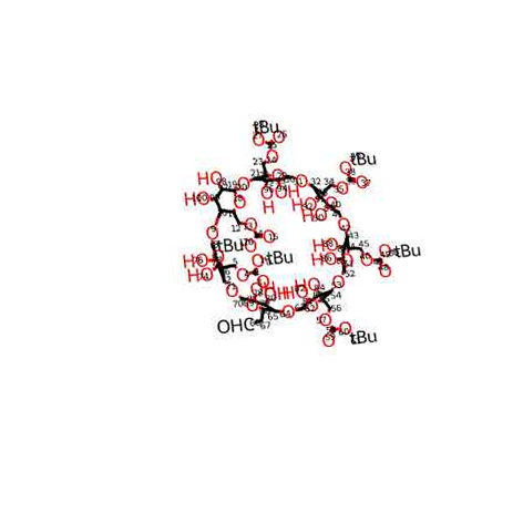 CC(C)(C)OC(=O)OCC1OC2OC3C(COC(=O)OC(C)(C)C)OC(OC4C(COC(=O)OC(C)(C)C)OC(OC5C(COC(=O)OC(C)(C)C)OC(OC6C(COC(=O)OC(C)(C)C)OC(OC7C(COC(=O)OC(C)(C)C)OC(OC8C(CC=O)OC(OC1C(O)C2O)C(O)C8O)C(O)C7O)C(O)C6O)C(O)C5O)C(O)C4O)C(O)C3O